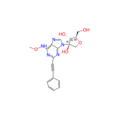 CONc1nc(C#Cc2ccccc2)nc2c1ncn2[C@@]1(O)CO[C@H](CO)[C@H]1O